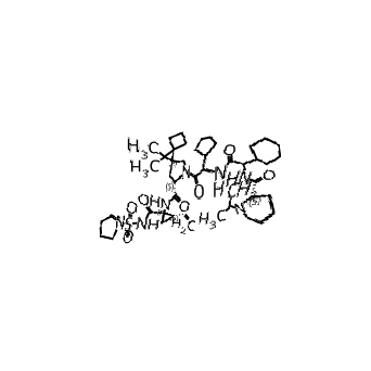 C=C[C@@H]1C[C@]1(NC(=O)[C@@H]1C[C@@]2(CN1C(=O)C(NC(=O)C(NC(=O)[C@@H]1CCCCN1C(C)C)C1CCCCC1)C1CCCC1)C(C)(C)C21CCC1)C(=O)NS(=O)(=O)N1CCCC1